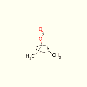 CC1=CC2(OC=O)CC(C)C1C2